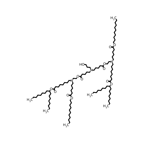 CCCCCCCCCCCOC(=O)CCCCCN(CCCCCCCC(=O)OC(CCCCCCCC)CCCCCCCC)CCOC(=O)CCCCN(CCCO)CCCCC(=O)OCCN(CCCCCCCC(=O)OC(CCCCCCCC)CCCCCCCC)CCCCCC(=O)OCCCCCCCCCCC